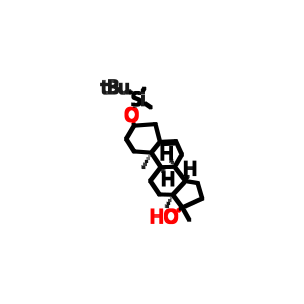 CC1(O)CC[C@H]2[C@@H]3CC=C4CC(O[Si](C)(C)C(C)(C)C)CC[C@]4(C)[C@@H]3CC[C@@]21C